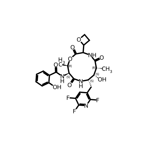 C[C@H]1OC(=O)C(C2CCO2)NC(=O)[C@H](C)[C@H](O)[C@H](Cc2cc(F)c(F)nc2F)NC(=O)[C@H]1NC(=O)c1ccccc1O